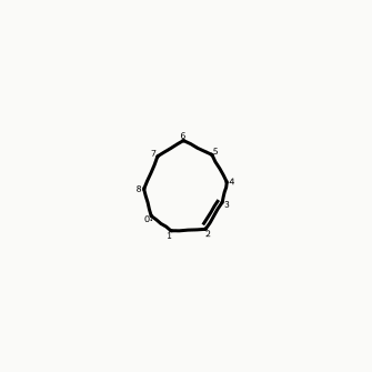 [CH]1C/C=C\CCCCC1